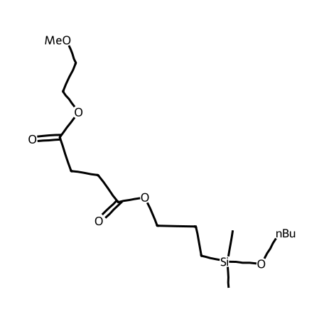 CCCCO[Si](C)(C)CCCOC(=O)CCC(=O)OCCOC